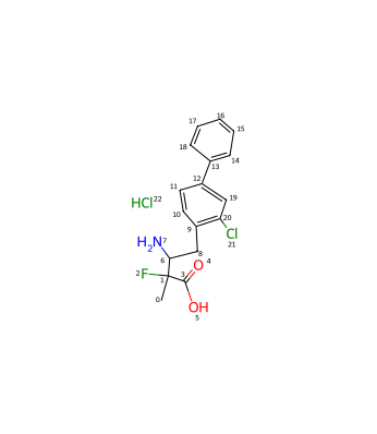 CC(F)(C(=O)O)C(N)Cc1ccc(-c2ccccc2)cc1Cl.Cl